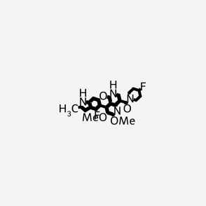 COc1nc2c(C(=O)N3CCC(F)CC3)c[nH]c(=O)c2c(-c2ccc3[nH]c(C)cc3c2F)c1OC